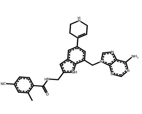 Cc1cc(C#N)ccc1C(=O)NCc1cc2cc(C3=CCNCC3)cc(Cn3cnc4c(N)ncnc43)c2[nH]1